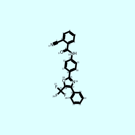 N#Cc1ccccc1C(=O)Nc1ccc(-c2nc(-c3ccccc3)c(C(F)(F)F)o2)cc1